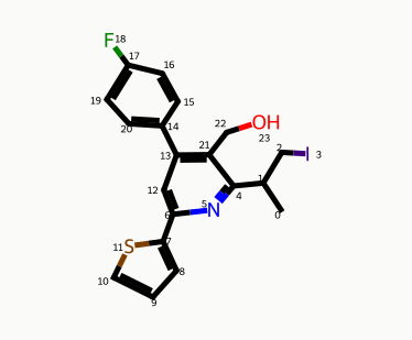 CC(CI)c1nc(-c2cccs2)cc(-c2ccc(F)cc2)c1CO